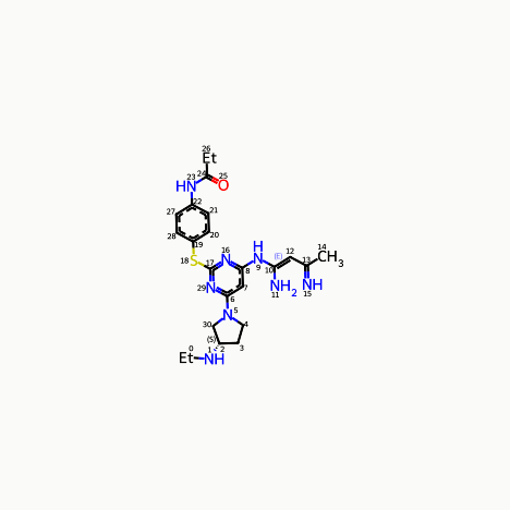 CCN[C@H]1CCN(c2cc(N/C(N)=C/C(C)=N)nc(Sc3ccc(NC(=O)CC)cc3)n2)C1